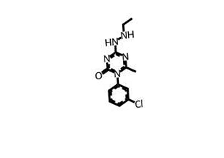 CCNNc1nc(C)n(-c2cccc(Cl)c2)c(=O)n1